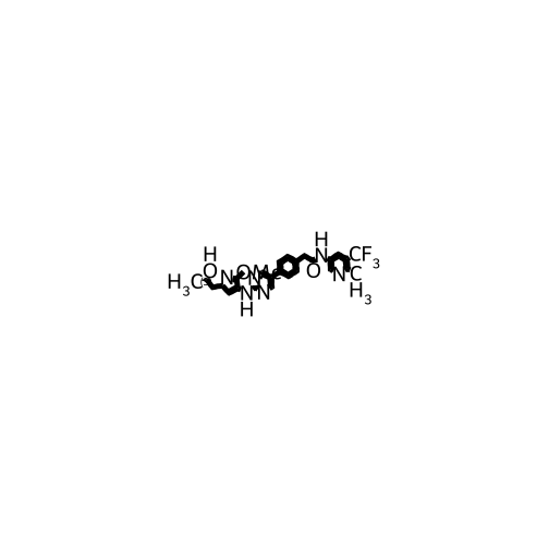 COC1=NC(C[C@H](C)O)C=C1Nc1ncc(-c2ccc(CC(=O)Nc3cnc(C)c(C(F)(F)F)c3)cc2)cn1